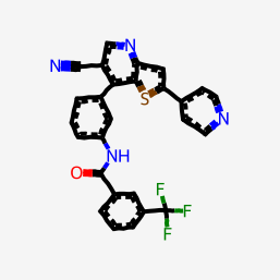 N#Cc1cnc2cc(-c3ccncc3)sc2c1-c1cccc(NC(=O)c2cccc(C(F)(F)F)c2)c1